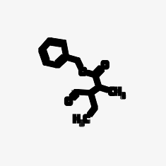 CCC([C]=O)C(C)C(=O)OCc1ccccc1